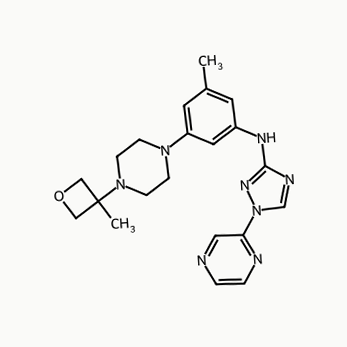 Cc1cc(Nc2ncn(-c3cnccn3)n2)cc(N2CCN(C3(C)COC3)CC2)c1